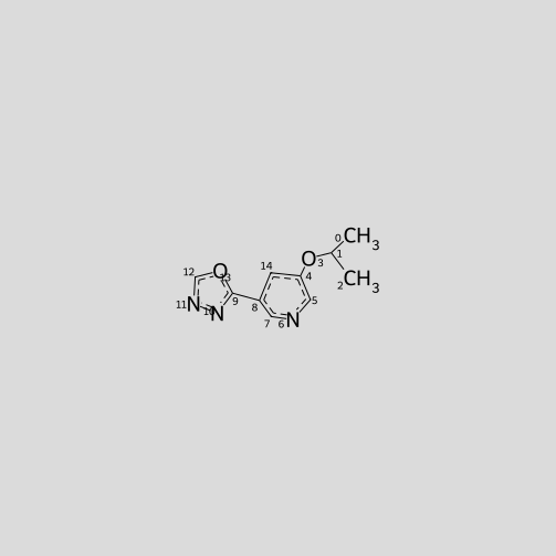 CC(C)Oc1cncc(-c2nnco2)c1